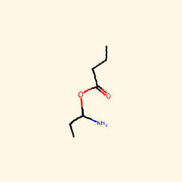 CCCC(=O)OC(N)CC